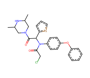 CC1CN(C(=O)C(c2cccs2)N(C(=O)CCl)c2ccc(Oc3ccccc3)cc2)CC(C)N1